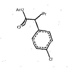 CC(=O)OC(=O)C(c1ccc(Cl)cc1)C(C)C